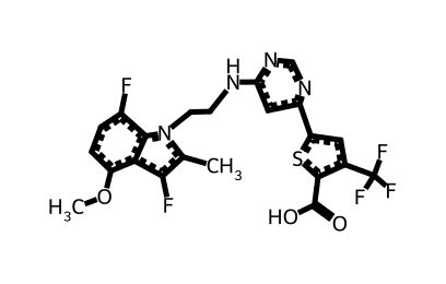 COc1ccc(F)c2c1c(F)c(C)n2CCNc1cc(-c2cc(C(F)(F)F)c(C(=O)O)s2)ncn1